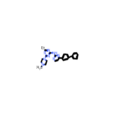 CCc1nc(Nc2nccc(-c3ccc(-c4ccccc4)cc3)n2)nc(N2CCN(C)CC2)n1